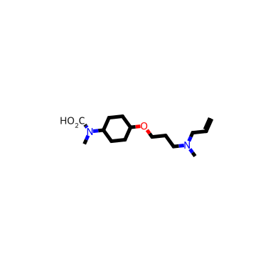 C=CCN(C)CCCOC1CCC(N(C)C(=O)O)CC1